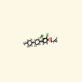 Fc1c(OCC2CC2)ccc(C2CCC(C3CCC(I)CC3)CC2)c1F